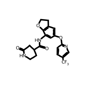 O=C1CC(C(=O)Nc2cc(Oc3ccc(C(F)(F)F)cn3)cc3c2OCC3)CCN1